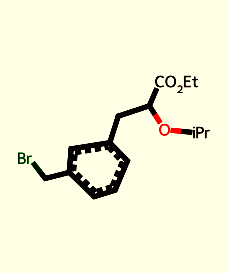 CCOC(=O)C(Cc1cccc(CBr)c1)OC(C)C